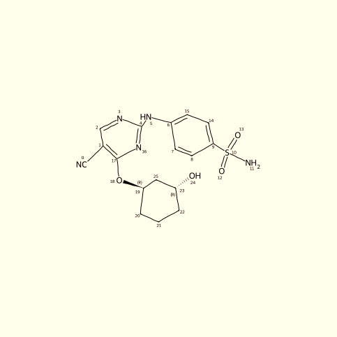 N#Cc1cnc(Nc2ccc(S(N)(=O)=O)cc2)nc1O[C@@H]1CCC[C@@H](O)C1